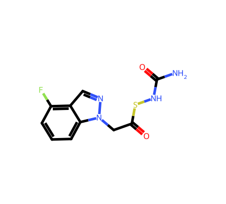 NC(=O)NSC(=O)Cn1ncc2c(F)cccc21